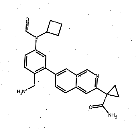 NCc1ccc(N(C=O)C2CCC2)cc1-c1ccc2cc(C3(C(N)=O)CC3)ncc2c1